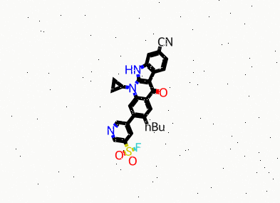 CCCCc1cc2c(=O)c3c4ccc(C#N)cc4[nH]c3n(C3CC3)c2cc1-c1cncc(S(=O)(=O)F)c1